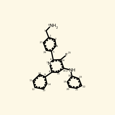 NCc1ccc(-c2nc(-c3ccccc3)cc(Nc3ccccc3)c2F)cc1